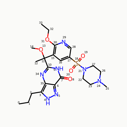 CCCc1[nH]nc2c(=O)[nH]c(C(C)(OC)c3cc(S(=O)(=O)N4CCN(C)CC4)cnc3OCC)nc12